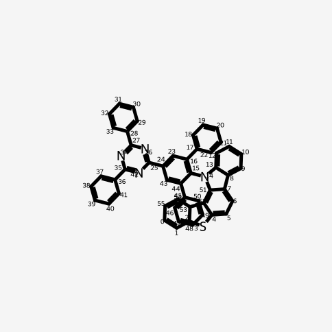 C1=CC2Sc3ccc4c5ccccc5n(-c5c(-c6ccccc6)cc(-c6nc(-c7ccccc7)nc(-c7ccccc7)n6)cc5-c5ccccc5)c4c3C2C=C1